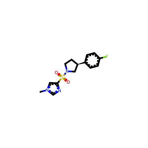 Cn1cnc(S(=O)(=O)N2C[CH][C@@H](c3ccc(F)cc3)C2)c1